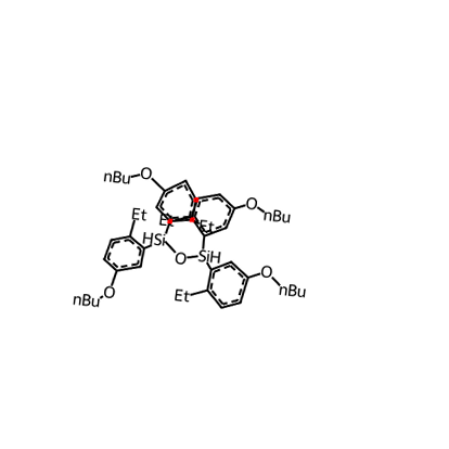 CCCCOc1ccc(CC)c([SiH](O[SiH](c2cc(OCCCC)ccc2CC)c2cc(OCCCC)ccc2CC)c2cc(OCCCC)ccc2CC)c1